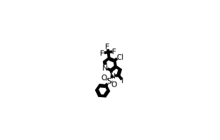 O=S(=O)(c1ccccc1)n1c(I)cc2c(Cl)c(C(F)(F)F)cnc21